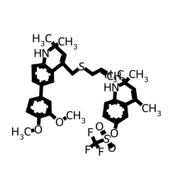 C=CCSCC1=CC(C)(C)Nc2ccc(-c3ccc(OC)c(OC)c3)cc21.CC1=CC(C)(C)Nc2ccc(OS(=O)(=O)C(F)(F)F)cc21